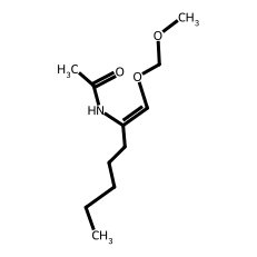 CCCCCC(=COCOC)NC(C)=O